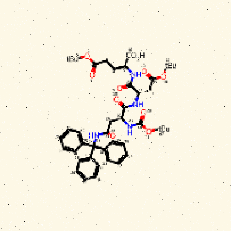 CC(C)(C)OC(=O)CC[C@H](NC(=O)[C@H](CC(=O)OC(C)(C)C)NC(=O)[C@H](CC(=O)NC(c1ccccc1)(c1ccccc1)c1ccccc1)NC(=O)OC(C)(C)C)C(=O)O